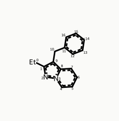 CCc1nn2ccccc2c1Cc1cc[c]cc1